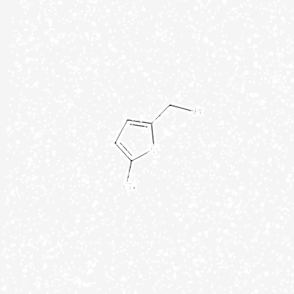 CC(C)Cc1ccc(C#N)o1